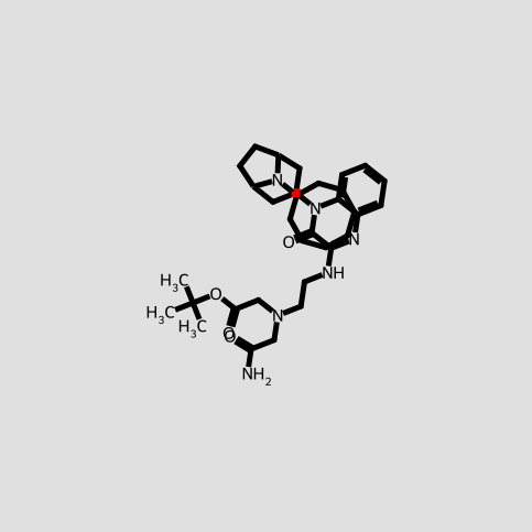 CC(C)(C)OC(=O)CN(CCNc1nc2ccccc2n(C2CC3CCC(C2)N3C2CCCCCCC2)c1=O)CC(N)=O